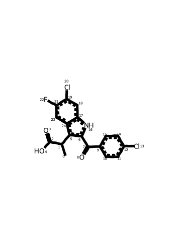 CC(C(=O)O)c1c(C(=O)c2ccc(Cl)cc2)[nH]c2cc(Cl)c(F)cc12